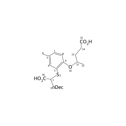 CCCCCCCCCCC(Sc1cc(C)ccc1OC(C)CCC(=O)O)C(=O)O